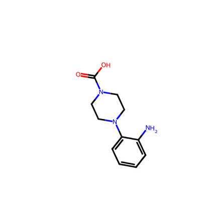 Nc1ccccc1N1CCN(C(=O)O)CC1